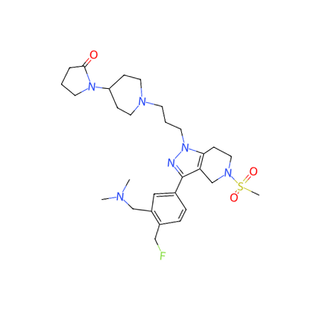 CN(C)Cc1cc(-c2nn(CCCN3CCC(N4CCCC4=O)CC3)c3c2CN(S(C)(=O)=O)CC3)ccc1CF